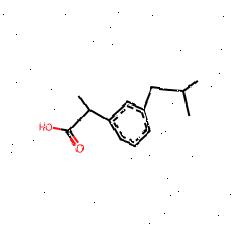 CC(C)Cc1cccc(C(C)C(=O)O)c1